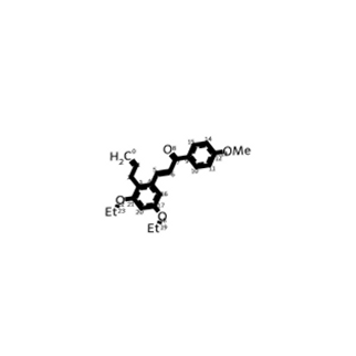 C=CCc1c(C=CC(=O)c2ccc(OC)cc2)cc(OCC)cc1OCC